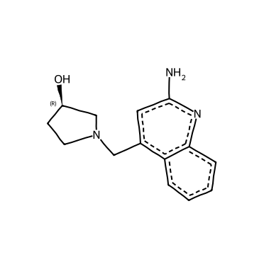 Nc1cc(CN2CC[C@@H](O)C2)c2ccccc2n1